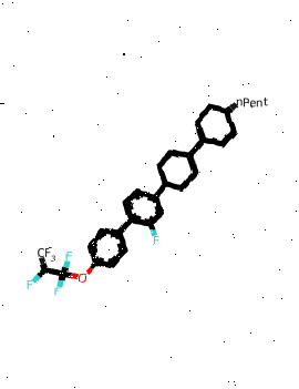 CCCCCC1CCC(C2CCC(c3ccc(-c4ccc(OC(F)(F)C(F)C(F)(F)F)cc4)c(F)c3)CC2)CC1